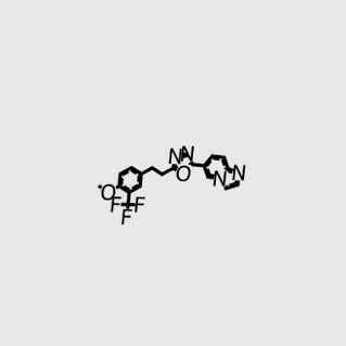 COc1ccc(CCc2nnc(-c3ccc4nccn4c3)o2)cc1C(F)(F)F